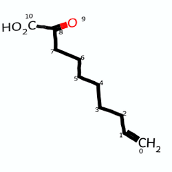 C=CCCCCCCC(=O)C(=O)O